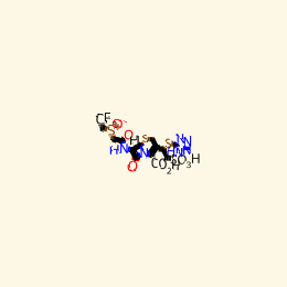 O=C(C[S+]([O-])CC(F)(F)F)NC1C(=O)N2C(C(=O)O)=C(C(CS(=O)(=O)O)Sc3nnn[nH]3)CS[C@@H]12